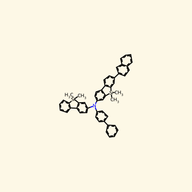 C[Si]1(C)c2ccccc2-c2ccc(N(c3ccc(-c4ccccc4)cc3)c3ccc4c(c3)[Si](C)(C)c3cc(-c5ccc6ccccc6c5)ccc3-4)cc21